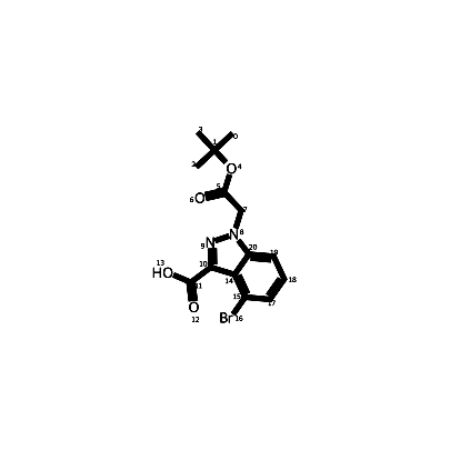 CC(C)(C)OC(=O)Cn1nc(C(=O)O)c2c(Br)cccc21